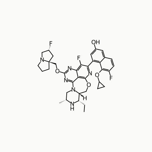 CC[C@@H]1N[C@H](C)CN2c3nc(OC[C@@]45CCCN4C[C@H](F)C5)nc4c(F)c(-c5cc(O)cc6ccc(F)c(OC7CC7)c56)nc(c34)OC[C@H]12